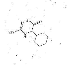 CCCC(=O)NC(C(=O)CC)C1CCCCC1